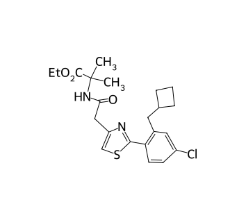 CCOC(=O)C(C)(C)NC(=O)Cc1csc(-c2ccc(Cl)cc2CC2CCC2)n1